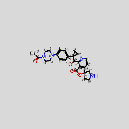 CCC(=O)N1CCN(c2ccc(C3(C(=O)c4nccc5c4C(=O)O[C@]54CCNC4)CC3)cc2)CC1